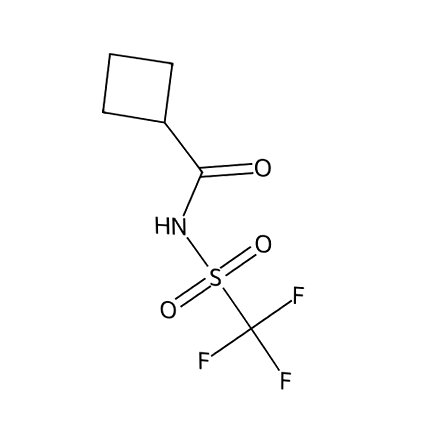 O=C(NS(=O)(=O)C(F)(F)F)C1CCC1